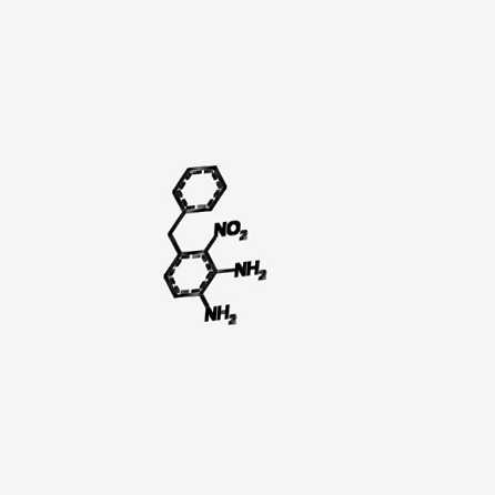 Nc1ccc(Cc2ccccc2)c([N+](=O)[O-])c1N